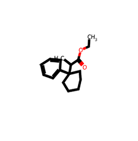 CCOC(=O)C(C)C1(c2cc[c]cc2)CCCCC1